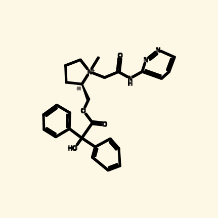 C[N+]1(CC(=O)Nc2cccnn2)CCC[C@@H]1COC(=O)C(O)(c1ccccc1)c1ccccc1